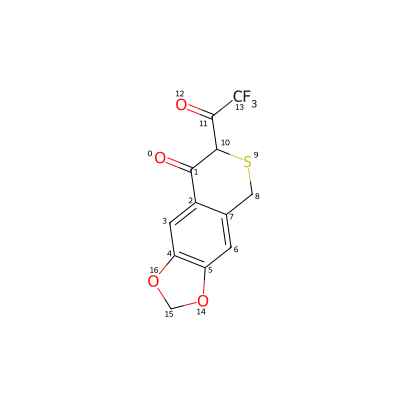 O=C1c2cc3c(cc2CSC1C(=O)C(F)(F)F)OCO3